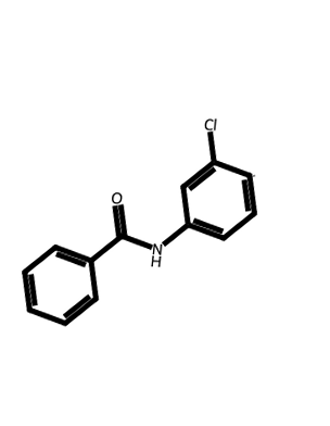 O=C(Nc1cc[c]c(Cl)c1)c1ccccc1